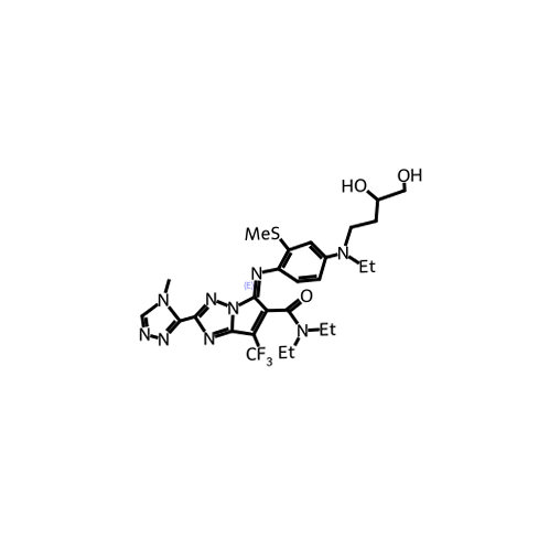 CCN(CC)C(=O)C1=C(C(F)(F)F)c2nc(-c3nncn3C)nn2/C1=N/c1ccc(N(CC)CCC(O)CO)cc1SC